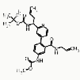 C=CCNC(=O)c1cc(NC(=O)OC)ccc1-c1ccnc([C@H](CC=C)NC(=O)OC(C)(C)C)c1